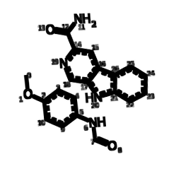 COc1ccc(NC=O)cc1.NC(=O)c1cc2c(cn1)[nH]c1ccccc12